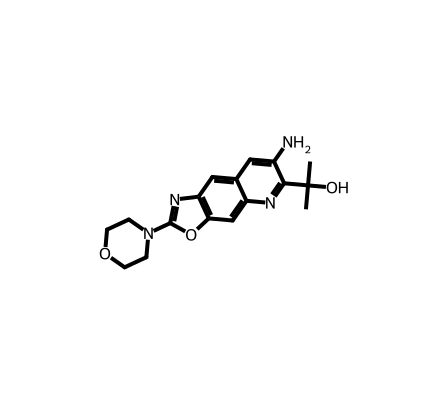 CC(C)(O)c1nc2cc3oc(N4CCOCC4)nc3cc2cc1N